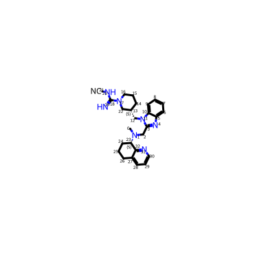 CN(Cc1nc2ccccc2n1C[C@H]1CCCN(C(=N)NC#N)C1)[C@H]1CCCc2cccnc21